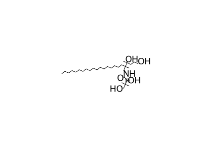 CCCCCCCCCCCCCCCCCCC(C)(CNC(=O)[C@H](O)C(C)(C)CO)C(C)(O)CCCO